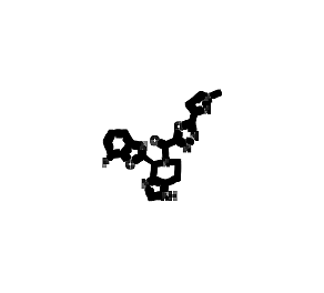 Cn1ccc(-c2nnc(C(=O)N3CCc4[nH]cnc4[C@H]3c3nc4cccc(F)c4o3)o2)n1